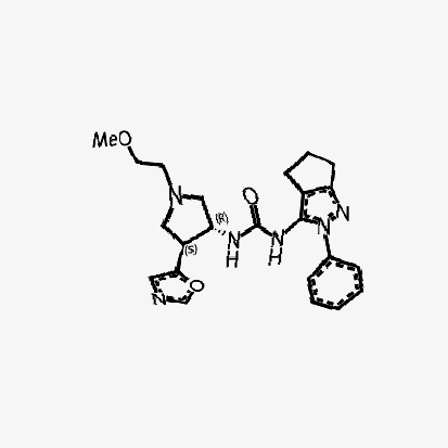 COCCN1C[C@H](NC(=O)Nc2c3c(nn2-c2ccccc2)CCC3)[C@@H](c2cnco2)C1